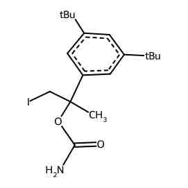 CC(C)(C)c1cc(C(C)(C)C)cc(C(C)(CI)OC(N)=O)c1